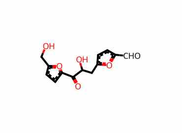 O=Cc1ccc(CC(O)C(=O)c2ccc(CO)o2)o1